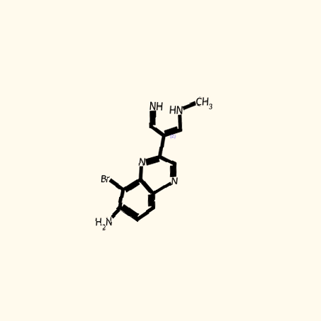 CN/C=C(\C=N)c1cnc2ccc(N)c(Br)c2n1